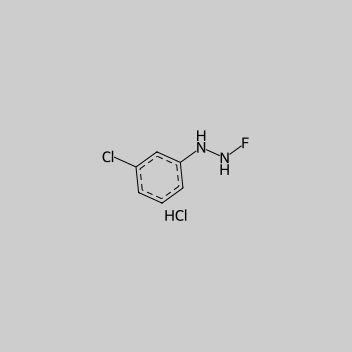 Cl.FNNc1cccc(Cl)c1